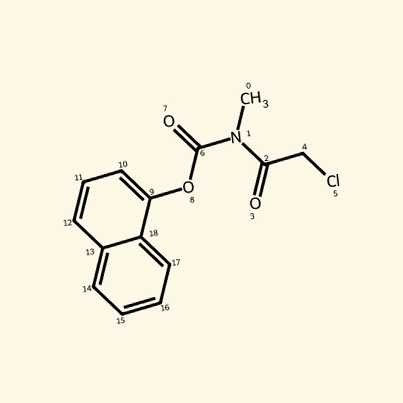 CN(C(=O)CCl)C(=O)Oc1cccc2ccccc12